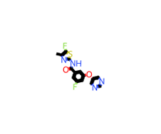 Cc1nc(NC(=O)c2cc(F)cc(Oc3cncnc3)c2)sc1F